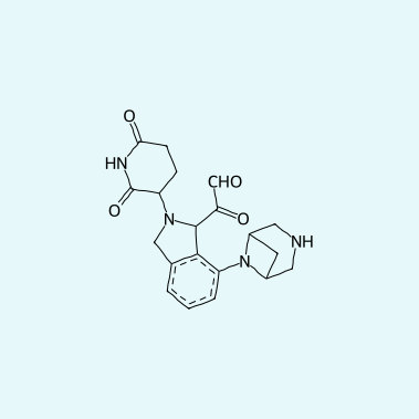 O=CC(=O)C1c2c(cccc2N2C3CNCC2C3)CN1C1CCC(=O)NC1=O